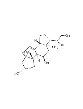 C[C@]12C[C@@H](O)[C@@H]3C(=CC=C4C[C@@H](O)CC[C@]43C)[C@@H]1CC[C@@H]2[C@H](O)CO